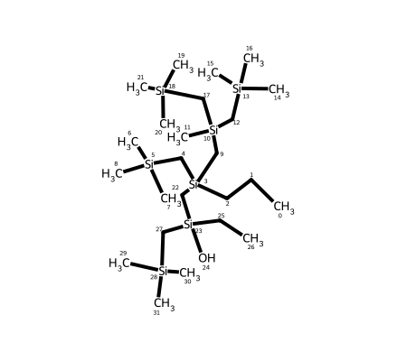 CCC[Si](C[Si](C)(C)C)(C[Si](C)(C[Si](C)(C)C)C[Si](C)(C)C)C[Si](O)(CC)C[Si](C)(C)C